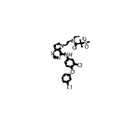 CCN(CCn1ccc2ncnc(Nc3ccc(Oc4cccc(Cl)c4)c(Cl)c3)c21)C(=O)C(C)(C)S(C)(=O)=O